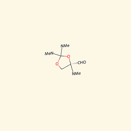 CNC1(NC)OC[C@](C=O)(NC)O1